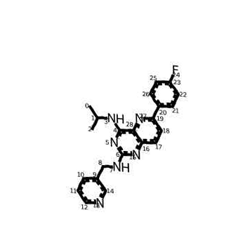 CC(C)Nc1nc(NCc2cccnc2)nc2ccc(-c3ccc(F)cc3)nc12